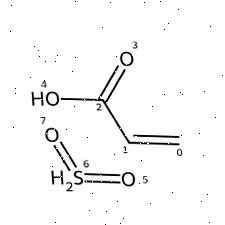 C=CC(=O)O.O=[SH2]=O